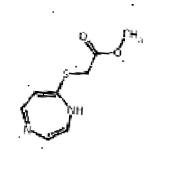 COC(=O)CSC1=CC=NC=CN1